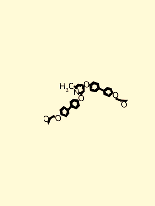 Cc1cc(Oc2ccc(-c3ccc(OCC4CO4)cc3)cc2)cc(Oc2ccc(-c3ccc(OCC4CO4)cc3)cc2)n1